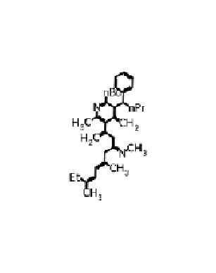 C=C(C/C(C/C(C)=C/C=C(/C)CC)=N\C)C1=C(C)N=C(CCCC)C(C(CCC)c2ccccc2)C1=C